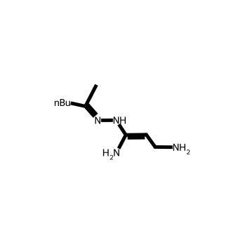 CCCC/C(C)=N/N/C(N)=C/CN